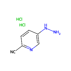 Cl.Cl.N#Cc1ccc(NN)cn1